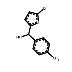 Cc1ccc(C(O)c2ccc(Br)s2)cc1